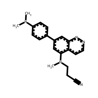 CN(C)c1ccc(-c2cc(N(C)CCC#N)c3ccnnc3c2)cc1